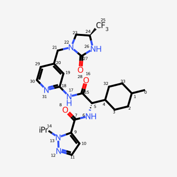 CC1CCC([C@H](NC(=O)c2ccnn2C(C)C)C(=O)Nc2cc(CN3C[C@@H](C(F)(F)F)NC3=O)ccn2)CC1